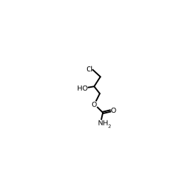 NC(=O)OCC(O)CCl